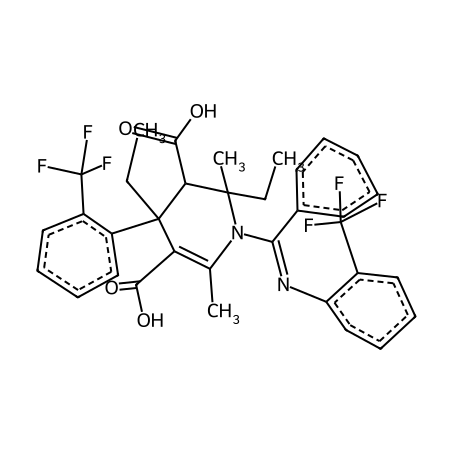 CCC1(c2ccccc2C(F)(F)F)C(C(=O)O)=C(C)N(C(=Nc2ccccc2C(F)(F)F)c2ccccc2)C(C)(CC)C1C(=O)O